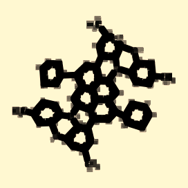 Cc1ccc2c(c1)Oc1cc(C)cc3c1B2c1cc2c(-c4ccccc4)cc4c5c(cc6c(-c7ccccc7)cc-3c1c6c25)B1c2ccc(C)cc2Oc2cc(C)cc-4c21